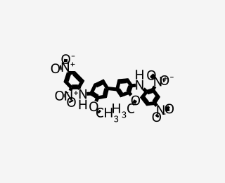 COc1cc(-c2ccc(Nc3ccc([N+](=O)[O-])cc3[N+](=O)[O-])c(OC)c2)ccc1Nc1ccc([N+](=O)[O-])cc1[N+](=O)[O-]